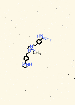 CN=C1N(CCc2ccc(C(=N)N)cc2)CCN1CCc1ccc(C2=NCCCN2)cc1